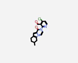 CC1CCc2cc3c(=O)n(-c4nccc(Cl)c4C=O)ccn3c2C1